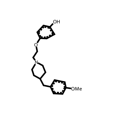 COc1ccc(CC2CCN(CCOc3ccc(O)cc3)CC2)cc1